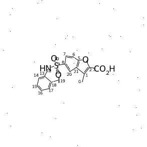 Cc1c(C(=O)O)oc2ccc(S(=O)(=O)Nc3ccccc3I)cc12